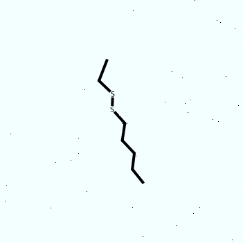 CCCC[CH]SSCC